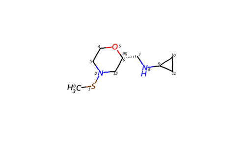 CSN1CCO[C@H](CNC2CC2)C1